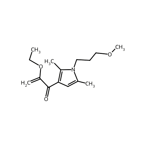 C=C(OCC)C(=O)c1cc(C)n(CCCOC)c1C